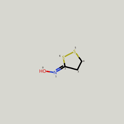 O/N=C1/CCSS1